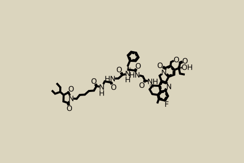 CCC(CC)C1CC(=O)N(CCCCCC(=O)NCC(=O)NCC(=O)N[C@@H](Cc2ccccc2)C(=O)NCC(=O)N[C@H]2CCc3c(C)c(F)cc4nc5c(c2c34)Cn2c-5cc3c(c2=O)COC(=O)[C@]3(O)CC)C1=O